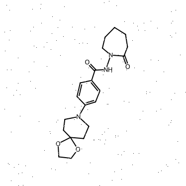 O=C(NN1CCCCCC1=O)c1ccc(N2CCC3(CC2)OCCO3)cc1